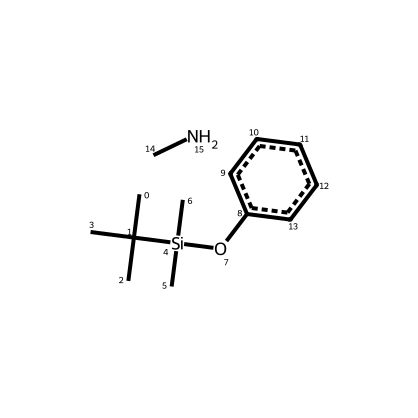 CC(C)(C)[Si](C)(C)Oc1ccccc1.CN